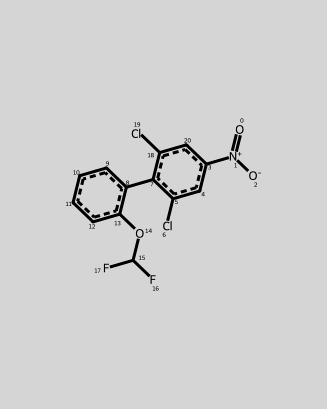 O=[N+]([O-])c1cc(Cl)c(-c2ccccc2OC(F)F)c(Cl)c1